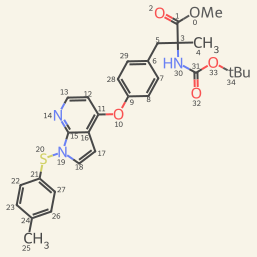 COC(=O)C(C)(Cc1ccc(Oc2ccnc3c2ccn3Sc2ccc(C)cc2)cc1)NC(=O)OC(C)(C)C